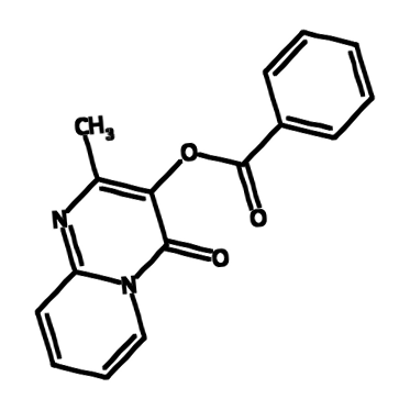 Cc1nc2ccccn2c(=O)c1OC(=O)c1ccccc1